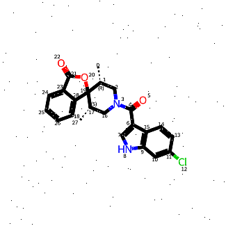 C[C@@H]1CN(C(=O)c2c[nH]c3cc(Cl)ccc23)C[C@H](C)C12OC(=O)c1ccccc12